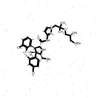 CNC[C@H](O)COC(C)(C)Cn1ccc(NC(=O)[C@@H]2N[C@@H](CC(C)(C)C)[C@](N)(c3ccc(Cl)cc3F)[C@H]2c2cccc(Cl)c2F)n1